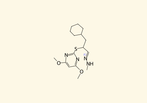 CN/N=C/C(CC1CCCCC1)Sc1nc(OC)cc(OC)n1